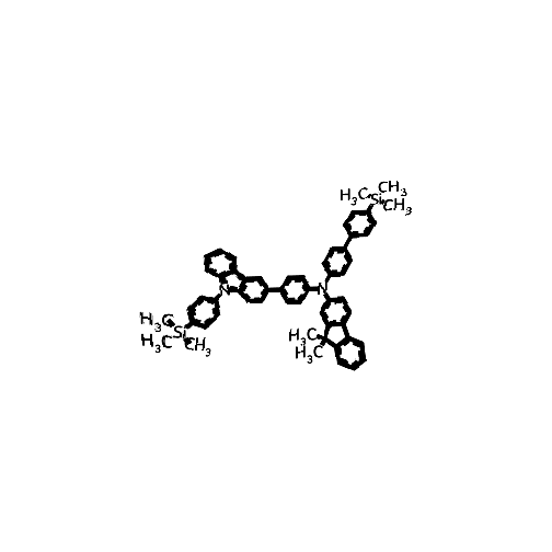 CC1(C)c2ccccc2-c2ccc(N(c3ccc(-c4ccc([Si](C)(C)C)cc4)cc3)c3ccc(-c4ccc5c(c4)c4ccccc4n5-c4ccc([Si](C)(C)C)cc4)cc3)cc21